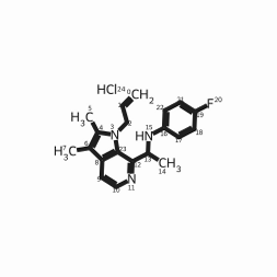 C=CCn1c(C)c(C)c2ccnc(C(C)Nc3ccc(F)cc3)c21.Cl